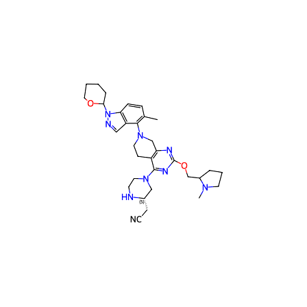 Cc1ccc2c(cnn2C2CCCCO2)c1N1CCc2c(nc(OCC3CCCN3C)nc2N2CCN[C@@H](CC#N)C2)C1